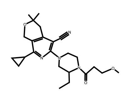 CCC1CN(c2nc(C3CC3)c3c(c2C#N)CC(C)(C)OC3)CCN1C(=O)CCOC